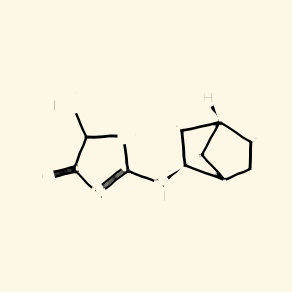 O=C1N=C(N[C@H]2C[C@@H]3CCC2C3)SC1C(F)(F)F